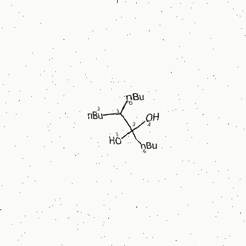 CCCCC(CCCC)C(O)(O)CCCC